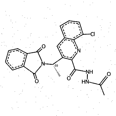 CC(=O)NNC(=O)c1nc2c(Cl)cccc2cc1[C@H](C)N1C(=O)c2ccccc2C1=O